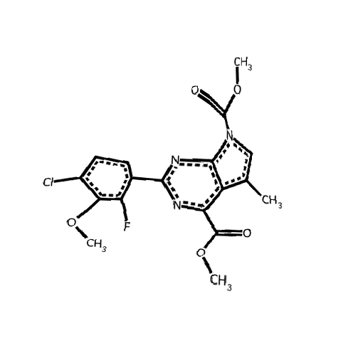 COC(=O)c1nc(-c2ccc(Cl)c(OC)c2F)nc2c1c(C)cn2C(=O)OC